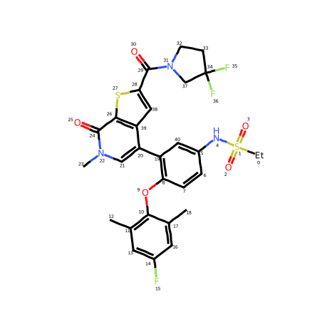 CCS(=O)(=O)Nc1ccc(Oc2c(C)cc(F)cc2C)c(-c2cn(C)c(=O)c3sc(C(=O)N4CCC(F)(F)C4)cc23)c1